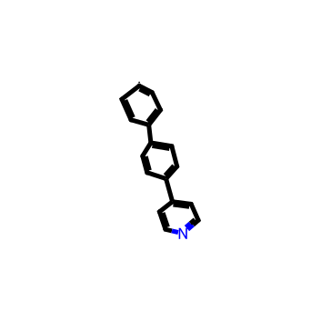 [c]1ccc(-c2ccc(-c3ccncc3)cc2)cc1